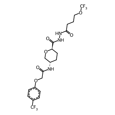 O=C(CCCOC(F)(F)F)NNC(=O)[C@H]1CC[C@H](NC(=O)COc2ccc(C(F)(F)F)cc2)CO1